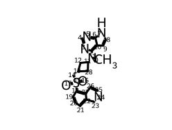 CN(c1ncnc2[nH]ccc12)[C@H]1C[C@@H](CS(=O)(=O)c2cccc3cnccc23)C1